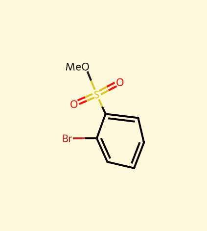 [CH2]OS(=O)(=O)c1ccccc1Br